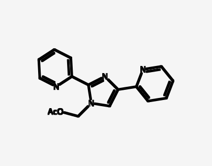 CC(=O)OCn1cc(-c2ccccn2)nc1-c1ccccn1